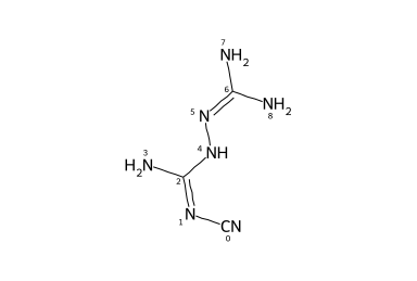 N#CN=C(N)NN=C(N)N